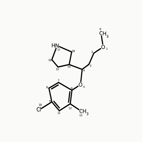 COCCC(Oc1ccc(Cl)cc1C)C1CCNC1